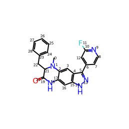 CN1c2cc3c(-c4ccnc(F)c4)n[nH]c3cc2NC(=O)C1Cc1ccccc1